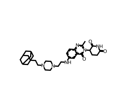 Cc1nc2ccc(NCCN3CCN(CCC45CC6CC(CC(C6)C4)C5)CC3)cc2c(=O)n1C1CCC(=O)NC1=O